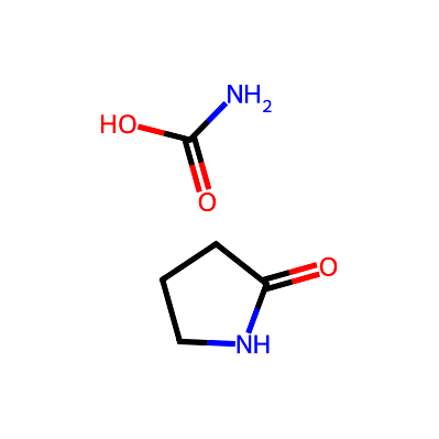 NC(=O)O.O=C1CCCN1